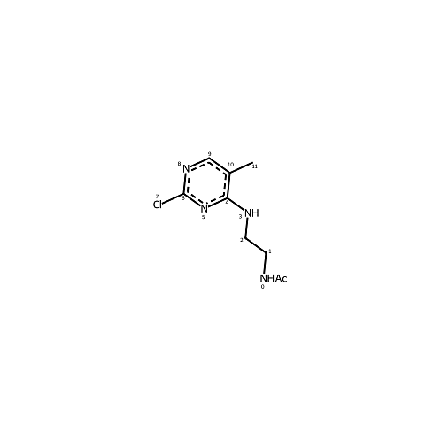 CC(=O)NCCNc1nc(Cl)ncc1C